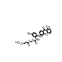 Cc1ccccc1C(=O)c1ccc(Nc2ccc(Br)cc2NC(=O)OCOC(=O)CCC(=O)O)cc1Cl